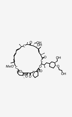 CO[C@H]1C[C@@H]2CC[C@@H](C)[C@@](O)(O2)C(=O)C(=O)N2CCCC[C@H]2C(=O)O[C@H]([C@H](C)CC2CC[C@@H](OCCO)[C@H](CO)C2)CC(=O)[C@H](C)/C=C(\C)[C@@H](O)[C@@H](CO)C(=O)[C@H](C)C[C@H](C)/C=C/C=C/C=C/1C